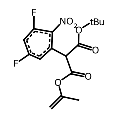 C=C(C)OC(=O)C(C(=O)OC(C)(C)C)c1cc(F)cc(F)c1[N+](=O)[O-]